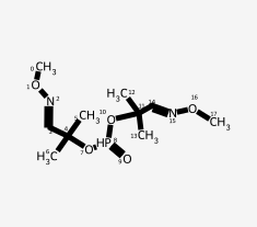 CO/N=C/C(C)(C)O[PH](=O)OC(C)(C)/C=N/OC